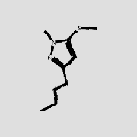 CCCCc1cc(SC)n(C)n1